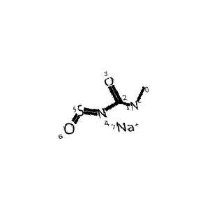 C[N-]C(=O)N=S=O.[Na+]